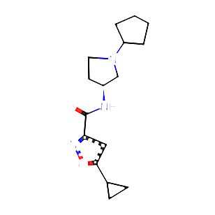 O=C(N[C@H]1CCN(C2CCCC2)C1)c1cc(C2CC2)on1